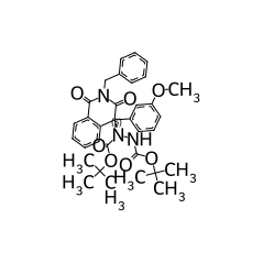 COc1cccc([C@@]2(N(NC(=O)OC(C)(C)C)C(=O)OC(C)(C)C)C(=O)N(Cc3ccccc3)C(=O)c3ccccc32)c1